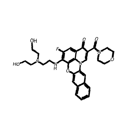 O=C(c1cn2c3c(c(NCCN(CCO)CCO)c(F)cc3c1=O)Oc1cc3ccccc3cc1-2)N1CCOCC1